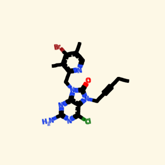 CCC#CCn1c(=O)n(Cc2ncc(C)c(Br)c2C)c2nc(N)nc(Cl)c21